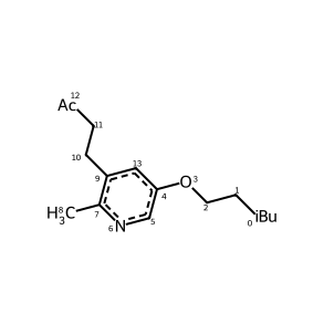 CCC(C)CCOc1cnc(C)c(CCC(C)=O)c1